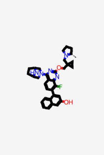 C[C@H]1CCCN1CC1(COc2nc(N3CC4CCC(C3)N4)c3ccc(-c4cc(O)cc5ccccc45)c(F)c3n2)CC1